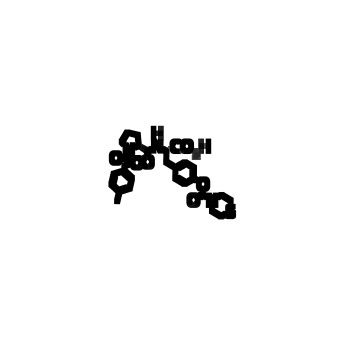 Cc1ccc(S(=O)(=O)N2CCC[C@H]2C(=O)N[C@@H](Cc2ccc(OC(=O)N3CCSCC3)cc2)C(=O)O)cc1